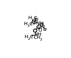 C=CC(=C)Nc1cccc(-n2cc(Nc3cn(C)nc3OC)c3ncn(C4CCC4)c3c2=O)c1